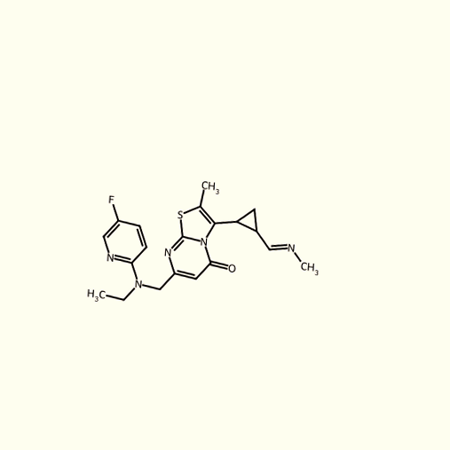 CCN(Cc1cc(=O)n2c(C3CC3/C=N/C)c(C)sc2n1)c1ccc(F)cn1